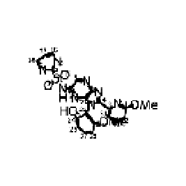 COC1=NC(c2nc3ncc(NS(=O)(=O)c4ncccn4)nc3n2-c2c(O)cccc2OC)=C=C=C1